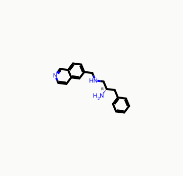 N[C@H](CNCc1ccc2cnccc2c1)Cc1ccccc1